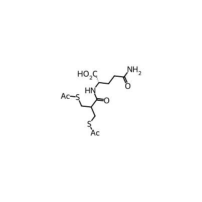 CC(=O)SCC(CSC(C)=O)C(=O)N[C@@H](CCC(N)=O)C(=O)O